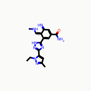 CCn1nc(C)cc1-c1n[nH]c(C2=CC(C(N)=O)=CC(=N)/C2=C\NC)n1